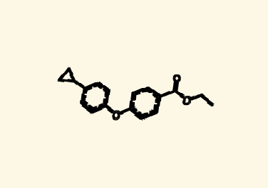 CCOC(=O)c1ccc(Oc2ccc(C3CC3)cc2)cc1